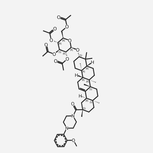 COc1ccccc1N1CCN(C(=O)[C@@]2(C)CC[C@]3(C)CC[C@]4(C)C(=CC[C@@H]5[C@@]6(C)CC[C@H](O[C@@H]7O[C@H](COC(C)=O)[C@@H](OC(C)=O)[C@H](OC(C)=O)[C@H]7OC(C)=O)C(C)(C)[C@@H]6CC[C@]54C)[C@@H]3C2)CC1